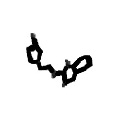 FC1CCN(CCSC2=NCc3ccccc3N2)C1